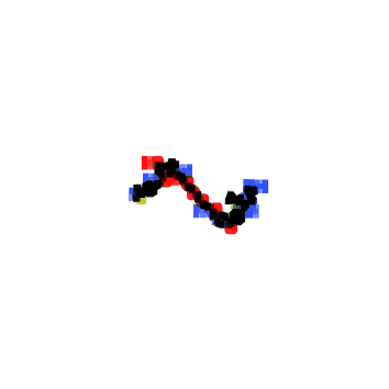 Cc1ncsc1-c1ccc(CNC(=O)[C@@H]2C[C@@H](O)CN2C(=O)[C@@H](NC(=O)CCOCCOCCOCCNC(=O)CN2CCN(C(=O)c3ccc(Nc4nc(C5CC5)cn5c(-c6cn[nH]c6)cnc45)c(F)c3)CC2)C(C)(C)C)cc1